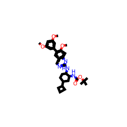 COc1cc(OC)cc(-c2cc3cnc(NC4CCC(C5CCC5)CC4NC(=O)OC(C)(C)C)nc3cc2OC)c1